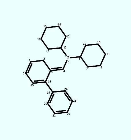 C1=CCC(=CP(C2CCCCC2)C2CCCCC2)C(c2ccccc2)=C1